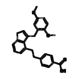 COc1ccc(OC)c(CC2=CCc3cccc(CCc4ccc(C(=O)O)cc4)c32)c1